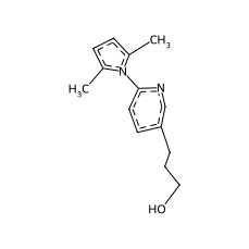 Cc1ccc(C)n1-c1ccc(CCCO)cn1